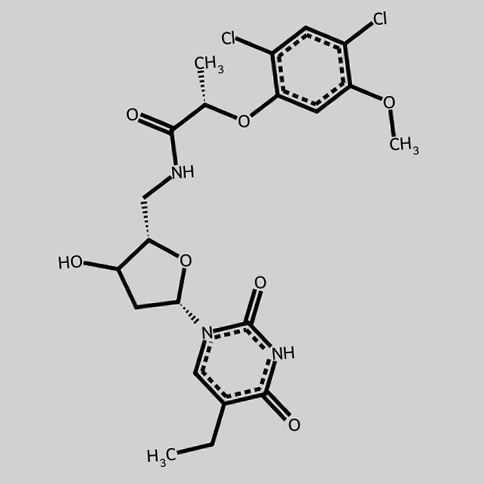 CCc1cn([C@@H]2CC(O)[C@H](CNC(=O)[C@H](C)Oc3cc(OC)c(Cl)cc3Cl)O2)c(=O)[nH]c1=O